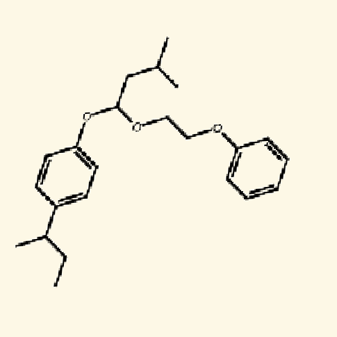 CCC(C)c1ccc(OC(CC(C)C)OCCOc2ccccc2)cc1